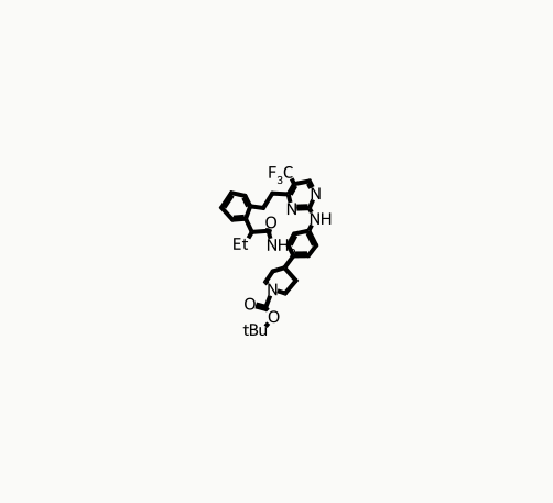 CCC(C(N)=O)c1ccccc1CCc1nc(Nc2ccc(C3CCN(C(=O)OC(C)(C)C)CC3)cc2)ncc1C(F)(F)F